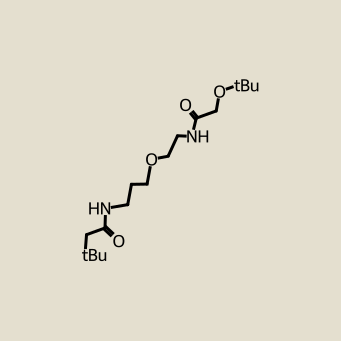 CC(C)(C)CC(=O)NCCCOCCNC(=O)COC(C)(C)C